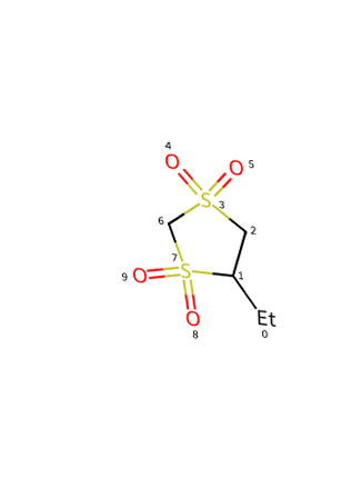 CCC1CS(=O)(=O)CS1(=O)=O